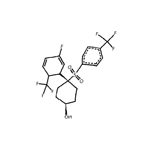 O=S(=O)(c1ccc(C(F)(F)F)cc1)[C@]1(C2C=C(F)C=CC2C(F)(F)F)CC[C@@H](O)CC1